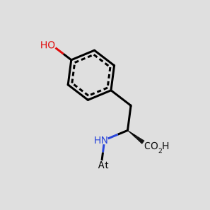 O=C(O)[C@H](Cc1ccc(O)cc1)N[At]